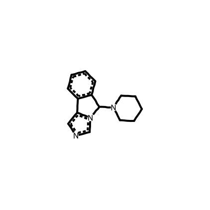 c1ccc2c(c1)-c1cncn1C2N1CCCCC1